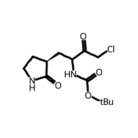 CC(C)(C)OC(=O)NC(C[C@@H]1CCNC1=O)C(=O)CCl